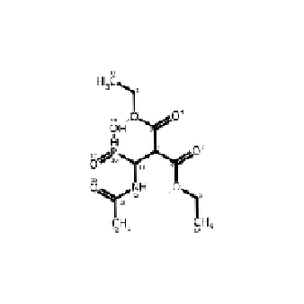 CCOC(=O)C(C(=O)OCC)C(NC(C)=O)[PH](=O)O